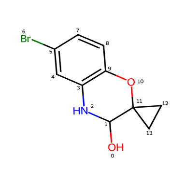 OC1Nc2cc(Br)ccc2OC12CC2